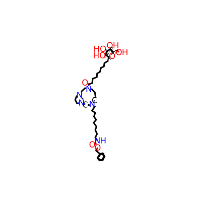 O=C(NCCCCCCCCCCN1CCCCN(C(=O)CCCCCCCCC[C@@H]2O[C@H](CO)[C@@H](O)[C@H](O)[C@H]2O)CCN2CCCN(CC1)C2)OCc1ccccc1